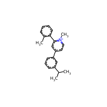 Cc1ccccc1-c1cc(-c2cccc(C(C)C)c2)cc[n+]1C